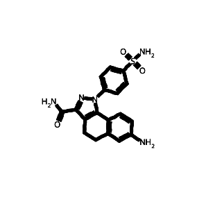 NC(=O)c1nn(-c2ccc(S(N)(=O)=O)cc2)c2c1CCc1cc(N)ccc1-2